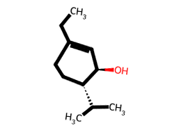 CCC1=C[C@@H](O)[C@H](C(C)C)CC1